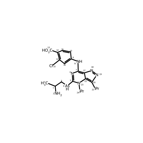 CC(N)C[AsH]c1nc(Nc2ccc(C(=O)O)c(Cl)c2)c2nnc(C(C)C)c-2n1C(C)C